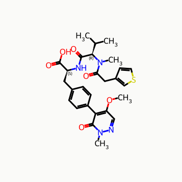 COc1cnn(C)c(=O)c1-c1ccc(C[C@H](NC(=O)[C@@H](C(C)C)N(C)C(=O)Cc2ccsc2)C(=O)O)cc1